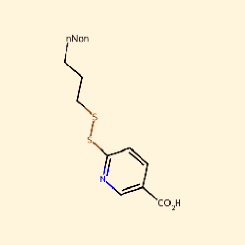 CCCCCCCCCCCCSSc1ccc(C(=O)O)cn1